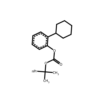 CCCC(C)(C)OC(=O)Oc1ccccc1C1CCCCC1